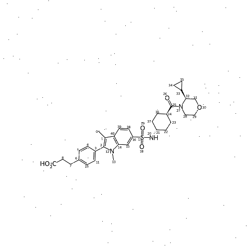 Cc1c(-c2ccc(CCC(=O)O)cc2)n(C)c2cc(S(=O)(=O)N[C@H]3CC[C@H](C(=O)N4CCOC[C@@H]4C4CC4)CC3)ccc12